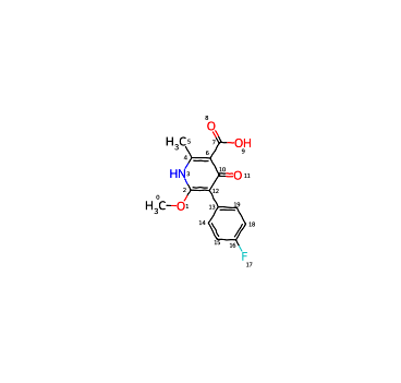 COc1[nH]c(C)c(C(=O)O)c(=O)c1-c1ccc(F)cc1